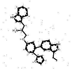 CCc1n[nH]c2ccc(-c3cc(OC[C@@H](N)Cc4c[nH]c5ccccc45)cnc3-c3ccco3)cc12